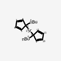 CCCC[C]1([Sr][C]2(CCCC)C=CC=C2)C=CC=C1